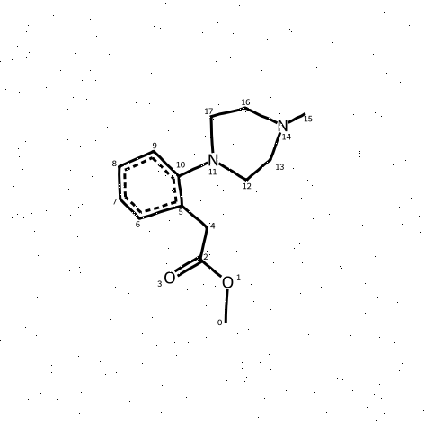 COC(=O)Cc1ccccc1N1CCN(C)CC1